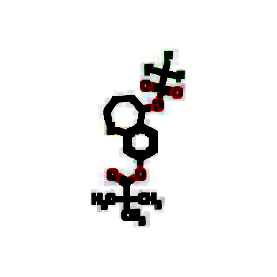 CC(C)(C)C(=O)Oc1ccc2c(c1)SCCCC2OS(=O)(=O)C(F)(F)F